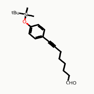 CC(C)(C)[Si](C)(C)Oc1ccc(C#CCCCCCC=O)cc1